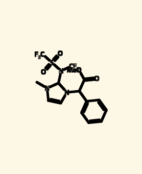 COC(=O)C(c1ccccc1)N1C=CN(C)C1N(C(F)(F)F)S(=O)(=O)C(F)(F)F